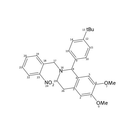 COc1cc2c(cc1OC)C(c1ccc(C(C)(C)C)cc1)N(Cc1ccccc1[N+](=O)[O-])CC2